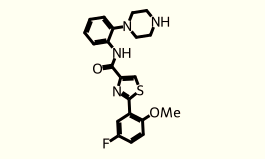 COc1ccc(F)cc1-c1nc(C(=O)Nc2ccccc2N2CCNCC2)cs1